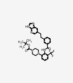 CC(C)(C)OC(=O)N1CCN(c2cccc(C(F)(F)F)c2NC(=O)c2cccc(CCc3cnc4[nH]cnc4c3)c2)CC1